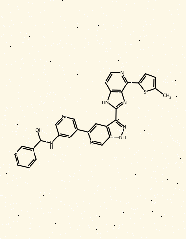 Cc1ccc(-c2nccc3[nH]c(-c4n[nH]c5cnc(-c6cncc(NC(O)c7ccccc7)c6)cc45)nc23)s1